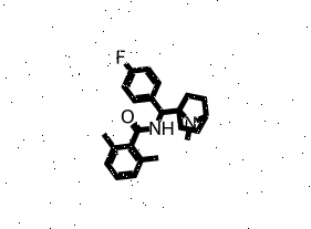 Cc1cccc(C)c1C(=O)NC(c1ccc(F)cc1)C12CCC(CC1)N2C